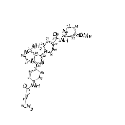 CC#CC(=O)NC1CC=C(c2nc(-c3ccc(C(=O)Nc4cc(OC)ccn4)cc3)c3c(N)nccn23)CC1